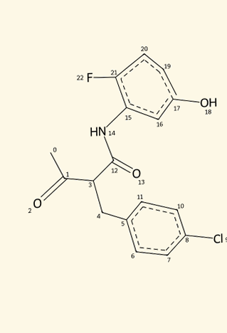 CC(=O)C(Cc1ccc(Cl)cc1)C(=O)Nc1cc(O)ccc1F